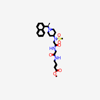 COC(=O)/C=C/CNC(=O)CNC(=O)CN(C1CCN([C@H](C)c2cccc3ccccc23)CC1)S(C)(=O)=O